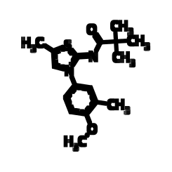 COc1ccc(-n2cc(C)sc2=NC(=O)C(C)(C)C)cc1C